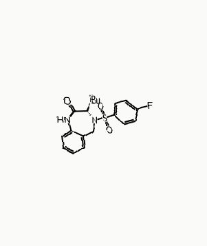 CC[C@H](C)[C@H]1C(=O)Nc2ccccc2CN1S(=O)(=O)c1ccc(F)cc1